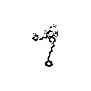 CC(C)C[C@@H]1NC(=O)C2(CCN(CCCCCCc3ccccc3)CC2)N(CCCn2ccnc2)C1=O